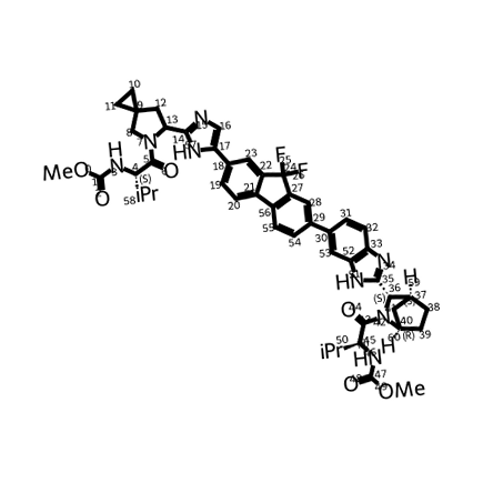 COC(=O)N[C@H](C(=O)N1CC2(CC2)CC1c1ncc(-c2ccc3c(c2)C(F)(F)c2cc(-c4ccc5nc([C@@H]6[C@H]7CC[C@H](C7)N6C(=O)[C@@H](NC(=O)OC)C(C)C)[nH]c5c4)ccc2-3)[nH]1)C(C)C